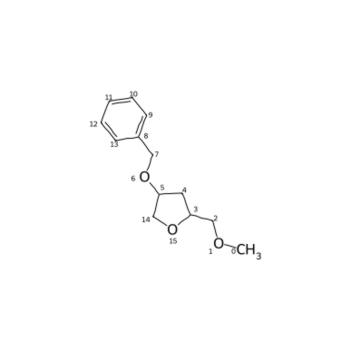 COCC1CC(OCc2ccccc2)CO1